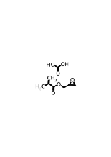 C=C(C)C(=O)OCC1CO1.O=C(O)O